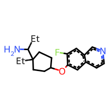 CCC(N)C1(CC)CCC(Oc2cc3ccncc3cc2F)CC1